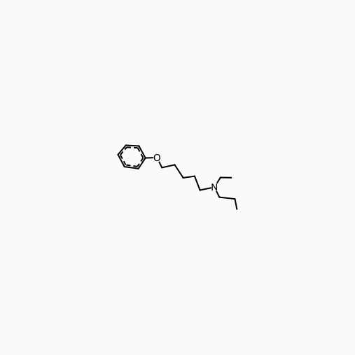 CCCN(CC)CCCCCOc1ccccc1